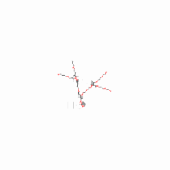 CCCCCCCCCCN(CCCCCCCCCC)C(=O)CCCCCCCN(CCCCCCCC(=O)N(CCCCCCCCCC)CCCCCCCCCC)CCC[C@@H]1CCCC[C@@H]1O